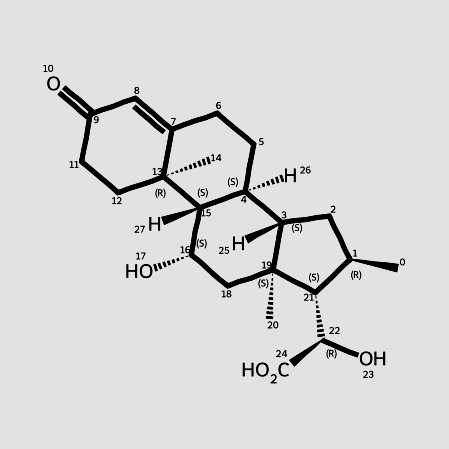 C[C@@H]1C[C@H]2[C@@H]3CCC4=CC(=O)CC[C@]4(C)[C@H]3[C@@H](O)C[C@]2(C)[C@H]1[C@@H](O)C(=O)O